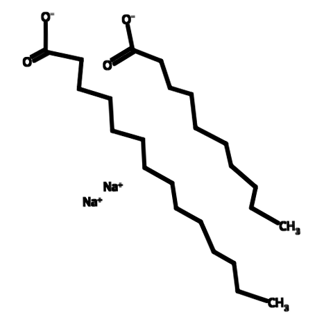 CCCCCCCCCC(=O)[O-].CCCCCCCCCCCCCC(=O)[O-].[Na+].[Na+]